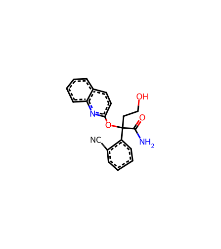 N#Cc1ccccc1C(CCO)(Oc1ccc2ccccc2n1)C(N)=O